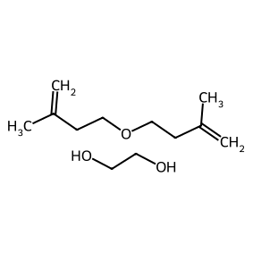 C=C(C)CCOCCC(=C)C.OCCO